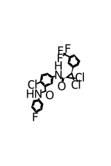 O=C(Nc1ccc(F)cc1)c1cc(NC(=O)[C@@H]2[C@@H](c3cccc(C(F)(F)F)c3)C2(Cl)Cl)ccc1Cl